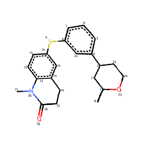 CC1CC(c2cccc(Sc3ccc4c(c3)CCC(=O)N4C)c2)CCO1